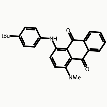 CNc1ccc(Nc2ccc(C(C)(C)C)cc2)c2c1C(=O)c1ccccc1C2=O